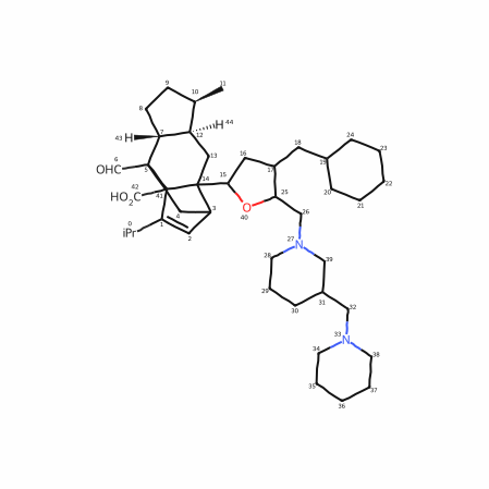 CC(C)C1=CC2CC3(C=O)[C@@H]4CC[C@@H](C)[C@H]4CC2(C2CC(CC4CCCCC4)C(CN4CCCC(CN5CCCCC5)C4)O2)C13C(=O)O